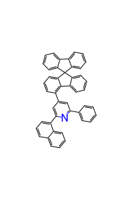 c1ccc(-c2cc(-c3cccc4c3-c3ccccc3C43c4ccccc4-c4ccccc43)cc(-c3cccc4ccccc34)n2)cc1